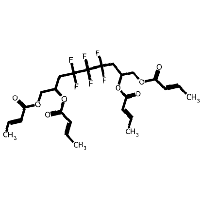 CC=CC(=O)OCC(CC(F)(F)C(F)(F)C(F)(F)CC(COC(=O)C=CC)OC(=O)C=CC)OC(=O)C=CC